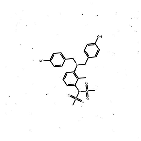 Cc1c(N(Cc2ccc(O)cc2)Cc2ccc(C#N)cc2)cccc1N(S(C)(=O)=O)S(C)(=O)=O